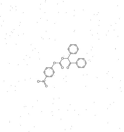 O=C(Oc1ccc([N+](=O)[O-])cc1)OC(C(=O)c1ccccc1)c1ccccc1